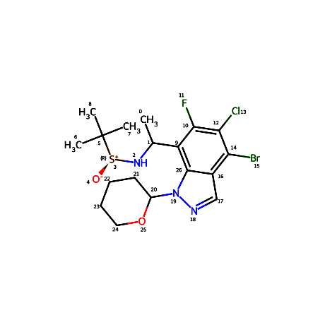 CC(N[S@@+]([O-])C(C)(C)C)c1c(F)c(Cl)c(Br)c2cnn(C3CCCCO3)c12